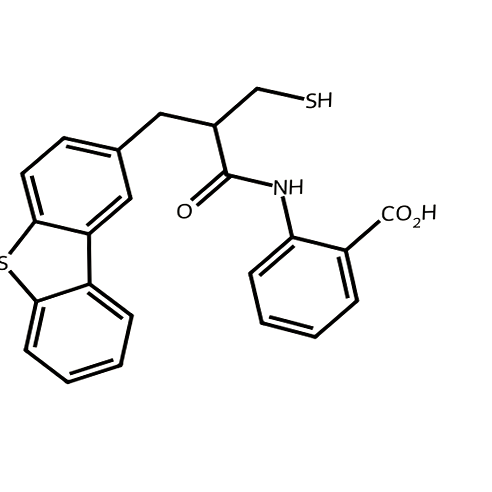 O=C(O)c1ccccc1NC(=O)C(CS)Cc1ccc2sc3ccccc3c2c1